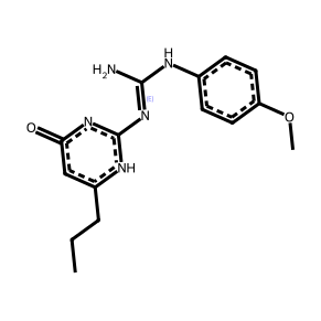 CCCc1cc(=O)nc(/N=C(\N)Nc2ccc(OC)cc2)[nH]1